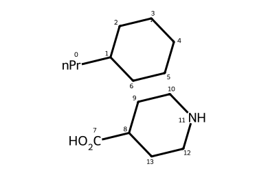 CCCC1C[CH]CCC1.O=C(O)C1CCNCC1